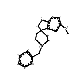 COc1ccc2c(c1)C1(CCN(Cc3ccccc3)CC1)CO2